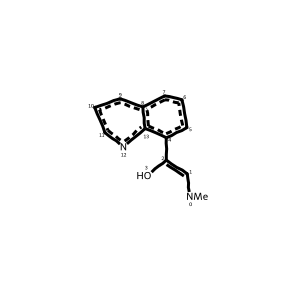 CN/C=C(\O)c1cccc2cccnc12